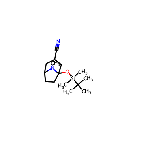 CN1C2CCC1(O[Si](C)(C)C(C)(C)C)CC(C#N)C2